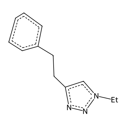 CCn1cc(CCc2ccccc2)nn1